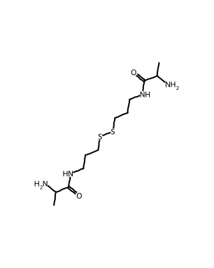 CC(N)C(=O)NCCCSSCCCNC(=O)C(C)N